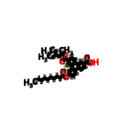 CCCCCCCCCC(=O)Oc1ccc(-c2ccc(C(=O)O)cc2-c2ccc(C(=O)O[C@H](C)CC(CC)CC)c(F)c2)cc1